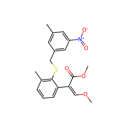 COC=C(C(=O)OC)c1cccc(C)c1SCc1cc(C)cc([N+](=O)[O-])c1